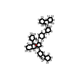 c1cc(-c2ccc(N(c3ccc(-c4ccc5sc6ccccc6c5c4)cc3)c3ccccc3-c3cccc4ccccc34)cc2)cc(-n2c3ccccc3c3ccccc32)c1